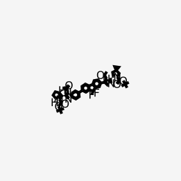 CC(=O)n1c(-c2ccc3c(c2)C(F)(F)c2cc(-c4ccc5nc([C@@H]6[C@H]7CC[C@H](C7)N6C(=O)OC(C)(C)C)n(C(C)=O)c5c4)ccc2-3)cnc1[C@@H]1CC2(CC2)CN1C(=O)OC(C)(C)C